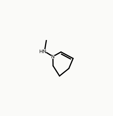 CNN1C=CCCC1